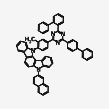 Cc1cc(-c2nc(-c3ccc(-c4ccccc4)cc3)nc(-c3ccccc3-c3ccccc3)n2)ccc1-n1c2ccccc2c2ccc3c(c4ccccc4n3-c3ccc4ccccc4c3)c21